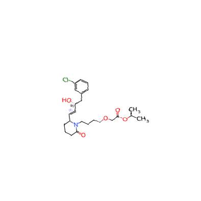 CC(C)OC(=O)COCCCCN1C(=O)CCCC1/C=C/[C@H](O)Cc1cccc(Cl)c1